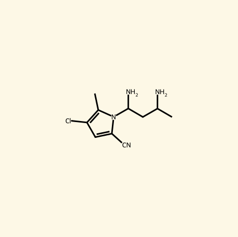 Cc1c(Cl)cc(C#N)n1C(N)CC(C)N